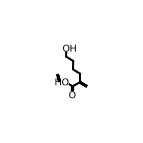 C=C.C=C(CCCCO)C(=O)O